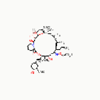 C=CC[C@@H]1/C=C(\C)C[C@H](C)C[C@H](OC)[C@H]2O[C@@](O)(C(O)C(=O)N3CCCC[C@H]3C(=O)O[C@H](/C(C)=C/[C@@H]3CC[C@@H](O)[C@H](OC)C3)[C@H](C)[C@@H](O)C/C1=N/OCC(=O)O)[C@H](C)C[C@@H]2OC